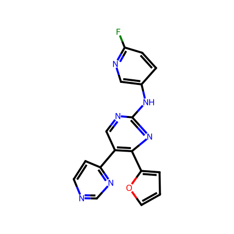 Fc1ccc(Nc2ncc(-c3ccncn3)c(-c3ccco3)n2)cn1